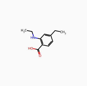 CCNc1cc(CC)ccc1C(=O)O